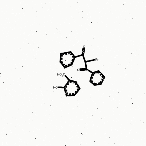 CC(C)C(C(=O)c1ccccc1)C(=O)c1ccccc1.O=C(O)c1ccccc1O